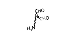 NCCCCCCN(CCC=O)CCC=O